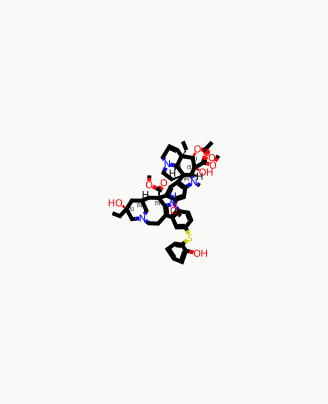 CC[C@]1(O)C[C@H]2CN(CCc3c([nH]c4ccc(Sc5ccccc5O)cc34)[C@@](C(=O)OC)(c3cc4c(cc3OC)N(C)[C@H]3[C@@](O)(C(=O)OC)[C@H](OC(C)=O)[C@]5(CC)C=CCN6CC[C@]43[C@@H]65)C2)C1